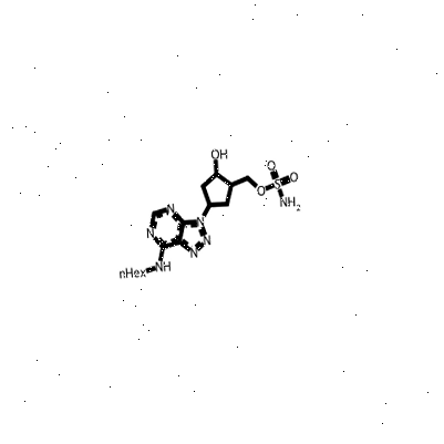 CCCCCCNc1ncnc2c1nnn2C1CC(O)C(COS(N)(=O)=O)C1